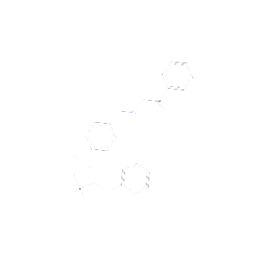 O=C(CNCc1ccc(S(=O)(=O)CC(O)(COc2ccccc2)C(=O)O)cc1)c1ccc(Cl)cc1